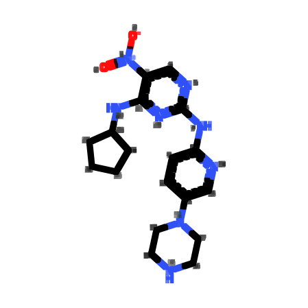 O=[N+]([O-])c1cnc(Nc2ccc(N3CCNCC3)cn2)nc1NC1CCCC1